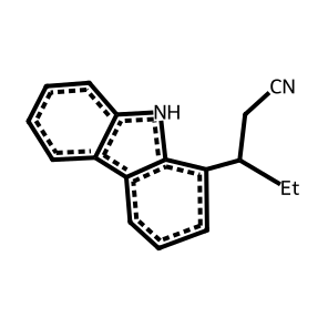 CCC(CC#N)c1cccc2c1[nH]c1ccccc12